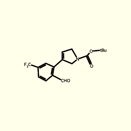 CC(C)(C)OC(=O)N1CC=C(c2cc(C(F)(F)F)ccc2C=O)C1